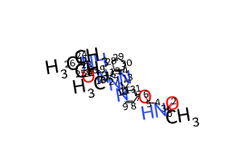 CC(=O)NCCOc1ccnc(-c2nc3c(c(N(C)CC(=O)NC(C)(C)C)n2)CCC3)c1